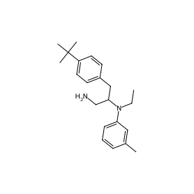 CCN(c1cccc(C)c1)C(CN)Cc1ccc(C(C)(C)C)cc1